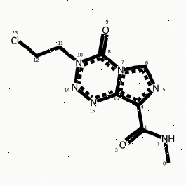 CNC(=O)c1ncn2c(=O)n(CCCl)nnc12